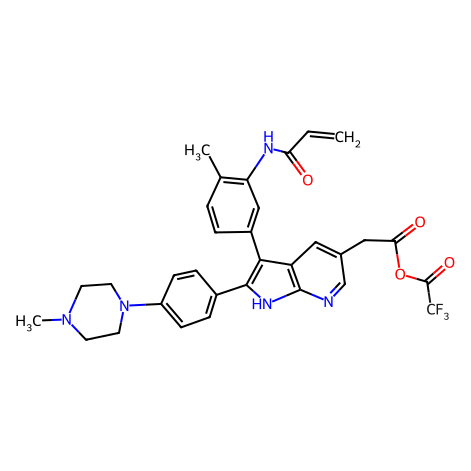 C=CC(=O)Nc1cc(-c2c(-c3ccc(N4CCN(C)CC4)cc3)[nH]c3ncc(CC(=O)OC(=O)C(F)(F)F)cc23)ccc1C